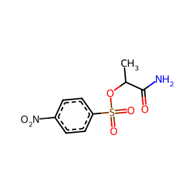 CC(OS(=O)(=O)c1ccc([N+](=O)[O-])cc1)C(N)=O